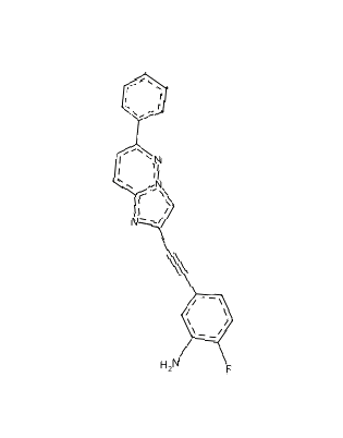 Nc1cc(C#Cc2cn3nc(-c4cc[c]cc4)ccc3n2)ccc1F